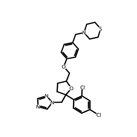 Clc1ccc(C2(Cn3cncn3)CCC(COc3ccc(CN4CCSCC4)cc3)O2)c(Cl)c1